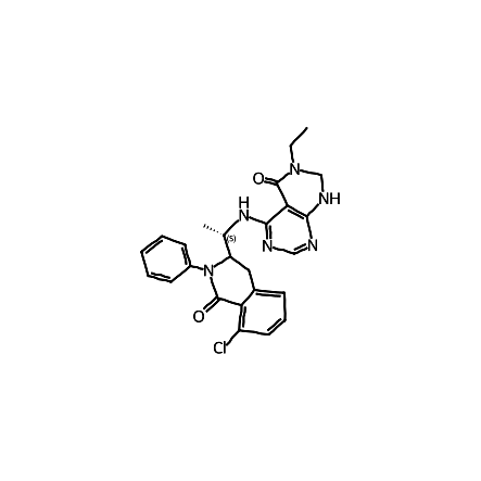 CCN1CNc2ncnc(N[C@@H](C)C3Cc4cccc(Cl)c4C(=O)N3c3ccccc3)c2C1=O